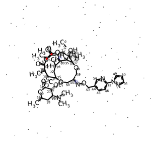 CC[C@H]1OC(=O)[C@H](C)C(=O)[C@H](C)[C@@H](O[C@@H]2O[C@H](C)C[C@H](N(C)C)[C@H]2O)[C@@]2(C)C[C@@H](C)/C(=N\C(C)=O)[C@H](C)[C@H](OC/C(=N\OCc3ccc(-n4cccn4)nc3)CO2)[C@]1(C)O